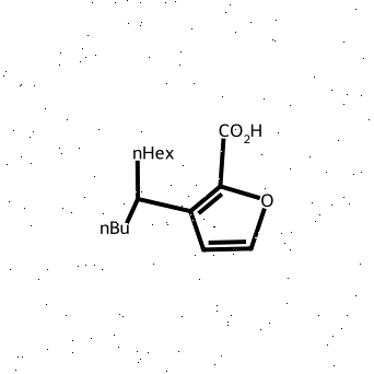 CCCCCCC(CCCC)c1ccoc1C(=O)O